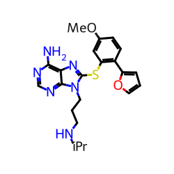 COc1ccc(-c2ccco2)c(Sc2nc3c(N)ncnc3n2CCCNC(C)C)c1